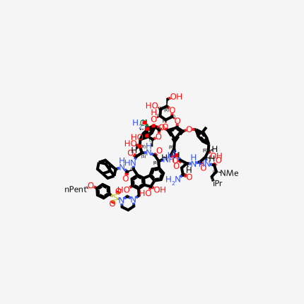 CCCCCOc1ccc(S(=O)(=O)N2CCCN(Cc3c(O)cc4c5c3C(O)(O)c3ccc(cc3-5)[C@H]3NC(=O)[C@@H]5NC(=O)[C@H](CC(N)=O)NC(=O)[C@H](NC(=O)[C@@H](CC(C)C)NC)[C@H](O)c6ccc(c(C)c6)Oc6cc5cc(c6O[C@@H]5O[C@H](CO)[C@@H](O)[C@H](O)[C@H]5O[C@H]5C[C@](C)(N)[C@H](O)[C@H](C)O5)Oc5ccc(cc5Cl)[C@@H](O)[C@H](NC3=O)C(=O)N[C@@H]4C(=O)NC3C4CC5CC(C4)CC3C5)C2)cc1